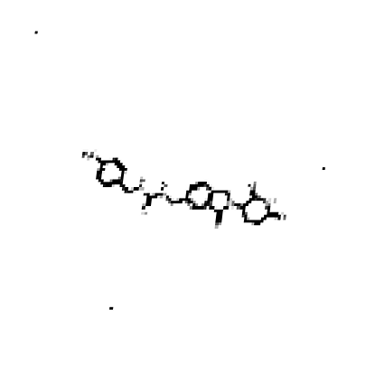 O=C1CCC(N2Cc3ccc(CNC(=O)NCc4ccc(C(F)(F)F)cc4)cc3C2=O)C(=O)N1